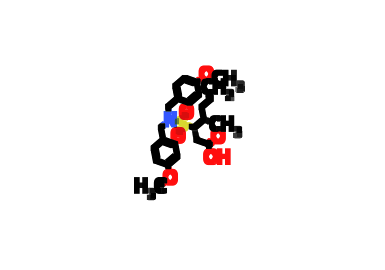 C=CC[C@@H](C)[C@@H](CC(=O)O)S(=O)(=O)N(Cc1ccc(OC)cc1)Cc1ccc(OC)cc1